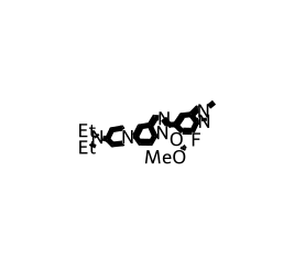 CCN(CC)C1CCN(c2ccc3nc(-c4cc5cn(C)nc5c(F)c4OCOC)ncc3c2)CC1